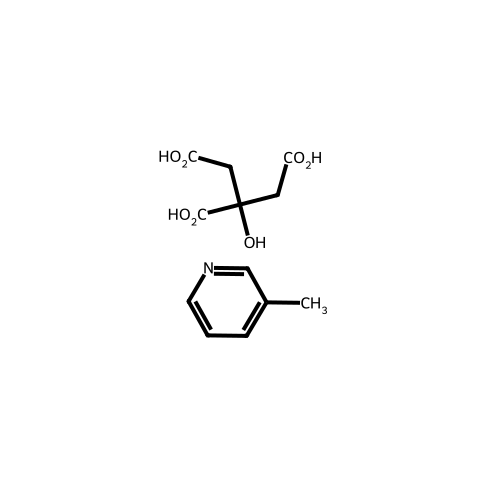 Cc1cccnc1.O=C(O)CC(O)(CC(=O)O)C(=O)O